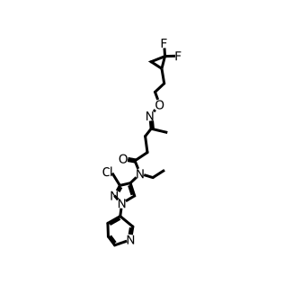 CCN(C(=O)CC/C(C)=N/OCCC1CC1(F)F)c1cn(-c2cccnc2)nc1Cl